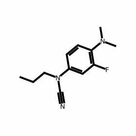 CCCN(C#N)c1ccc(N(C)C)c(F)c1